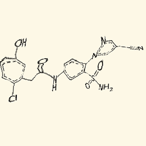 N#Cc1cnn(-c2ccc(NC(=O)Cc3cc(O)ccc3Cl)cc2S(N)(=O)=O)c1